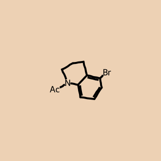 CC(=O)N1CCCc2c(Br)cccc21